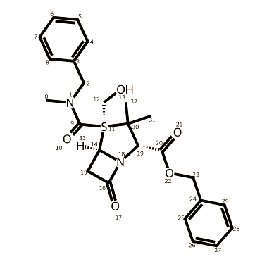 CN(Cc1ccccc1)C(=O)[S@]1(CO)[C@@H]2CC(=O)N2[C@@H](C(=O)OCc2ccccc2)C1(C)C